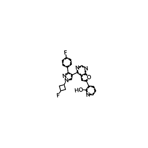 Oc1ncccc1-c1cc2c(-c3cn(C4CC(F)C4)nc3-c3ccc(F)cc3)ncnc2o1